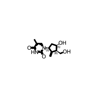 C=C1[C@H](CO)[C@@H](O)C[C@@H]1n1cc(C)c(=O)[nH]c1=O